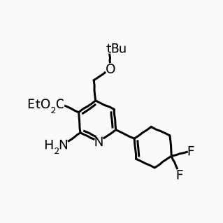 CCOC(=O)c1c(COC(C)(C)C)cc(C2=CCC(F)(F)CC2)nc1N